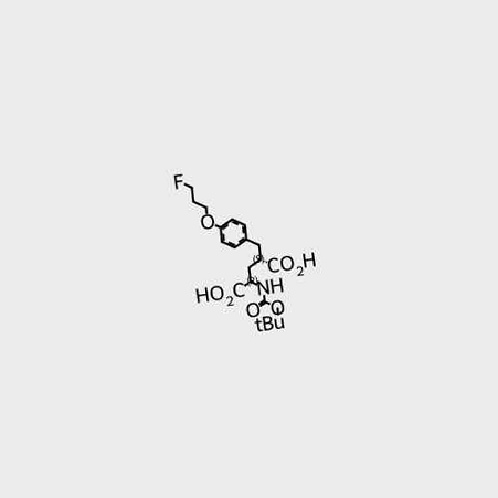 CC(C)(C)OC(=O)N[C@H](C[C@H](Cc1ccc(OCCCF)cc1)C(=O)O)C(=O)O